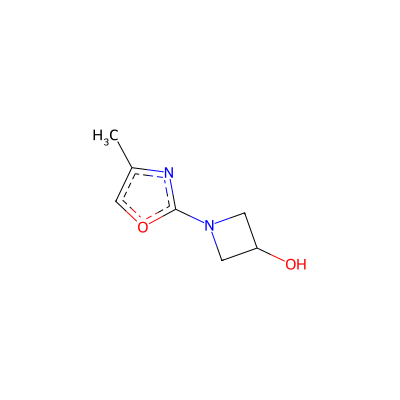 Cc1coc(N2CC(O)C2)n1